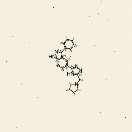 c1cncc(-c2n[nH]c3ccc(-c4nnc(CN5CCCC5)[nH]4)cc23)c1